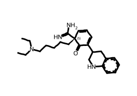 CCN(CC)CCCCC[C@@]1(C(=N)N)C=CC=C(C2CNc3ccccc3C2)C1=O